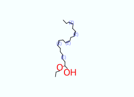 CC/C=C\C/C=C\C/C=C\C/C=C\CC/C=C/CC(CO)OCCC